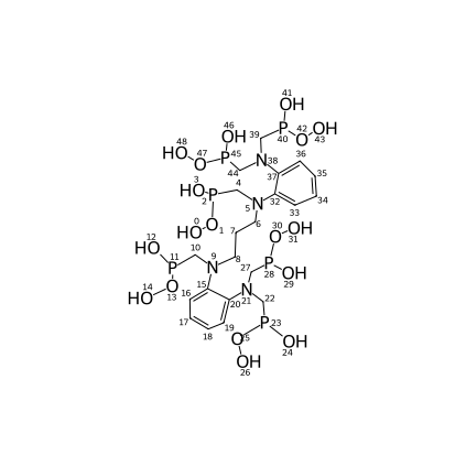 OOP(O)CN(CCCN(CP(O)OO)c1ccccc1N(CP(O)OO)CP(O)OO)c1ccccc1N(CP(O)OO)CP(O)OO